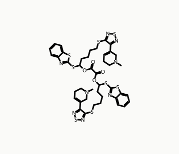 CN1CCC=C(c2nsnc2SCCCCC(OC(=O)C(=O)OC(CCCCSc2nsnc2C2=CCCN(C)C2)Sc2nc3ccccc3s2)Sc2nc3ccccc3s2)C1